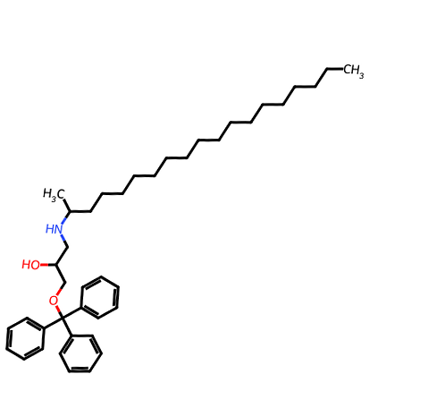 CCCCCCCCCCCCCCCCCC(C)NCC(O)COC(c1ccccc1)(c1ccccc1)c1ccccc1